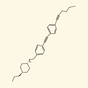 CCCCC#Cc1ccc(C#Cc2ccc(CC[C@H]3CC[C@H](CCC)CC3)cc2)cc1